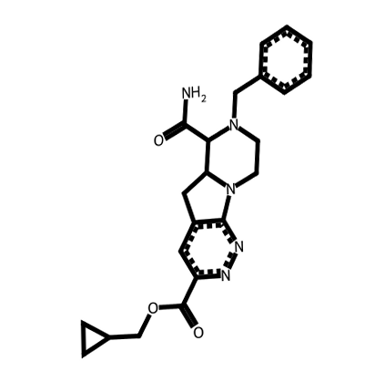 NC(=O)C1C2Cc3cc(C(=O)OCC4CC4)nnc3N2CCN1Cc1ccccc1